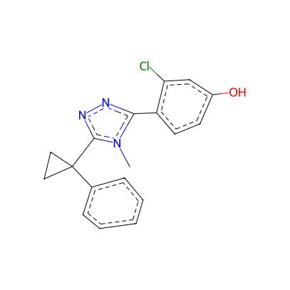 Cn1c(-c2ccc(O)cc2Cl)nnc1C1(c2ccccc2)CC1